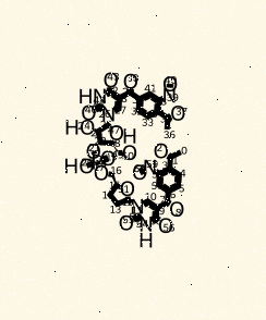 CC(=O)c1ccc(C(=O)c2cn(C3CC[C@@H](COP(=O)(O)O[C@H]4[C@@H](O)[C@H](n5cc(C(=O)c6ccc(C(C)=O)c(N=O)c6)c(=O)[nH]c5=O)O[C@@H]4CO)O3)c(=O)[nH]c2=O)cc1N=O